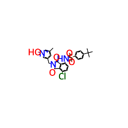 Cc1cc(CN2C(=O)c3c(Cl)ccc(NS(=O)(=O)c4ccc(C(C)(C)C)cc4)c3C2=O)c[n+](O)c1